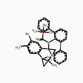 Cc1cc2c(cc1C#N)C1(N(C(=N)[Si](C)(C)C)c3c(-c4ccccc4)cccc3-c3ccccc3)CN1C1(C)C[C@]21C